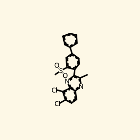 Cc1nc2ccc(Cl)c(Cl)c2nc1-c1ccc(-c2ccccc2)cc1S(C)(=O)=O